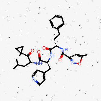 Cc1cc(C(=O)N[C@@H](CCc2ccccc2)C(=O)N[C@@H](Cc2ccncc2)C(=O)NC(CC(C)C)C(=O)C2(C)CC2)no1